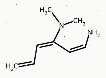 C=C/C=C(\C=C/N)N(C)C